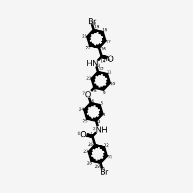 O=C(Nc1ccc(Oc2cccc(NC(=O)c3ccc(Br)cc3)c2)cc1)c1ccc(Br)cc1